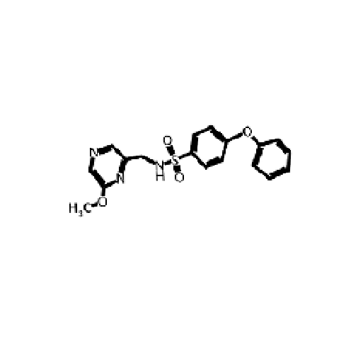 COc1cncc(CNS(=O)(=O)c2ccc(Oc3ccccc3)cc2)n1